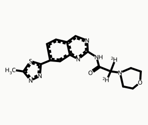 [2H]C([2H])(C(=O)Nc1ncc2ccc(-c3nnc(C)s3)cc2n1)N1CCOCC1